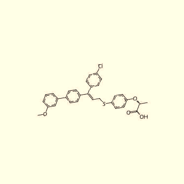 COc1cccc(-c2ccc(C(=CCSc3ccc(OC(C)C(=O)O)cc3)c3ccc(Cl)cc3)cc2)c1